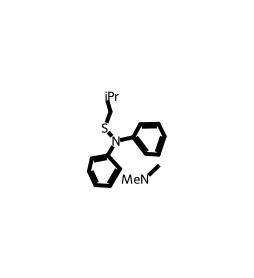 CC(C)CSN(c1ccccc1)c1ccccc1.CNC